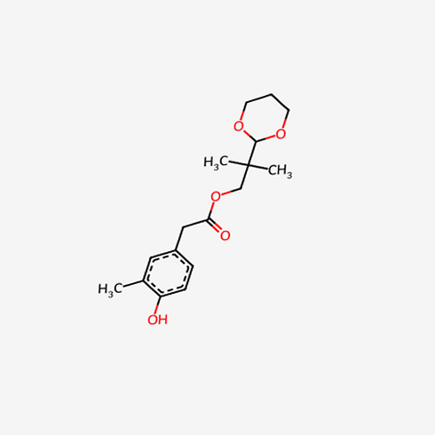 Cc1cc(CC(=O)OCC(C)(C)C2OCCCO2)ccc1O